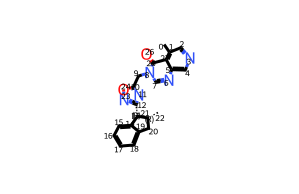 Cc1cncc2ncn(Cc3nc([C@H]4c5ccccc5C[C@H]4C)no3)c(=O)c12